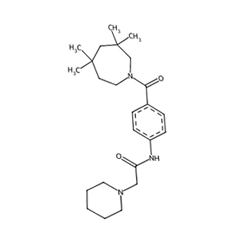 CC1(C)CCN(C(=O)c2ccc(NC(=O)CN3CCCCC3)cc2)CC(C)(C)C1